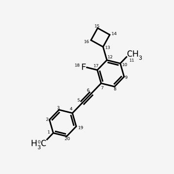 Cc1ccc(C#Cc2ccc(C)c(C3CCC3)c2F)cc1